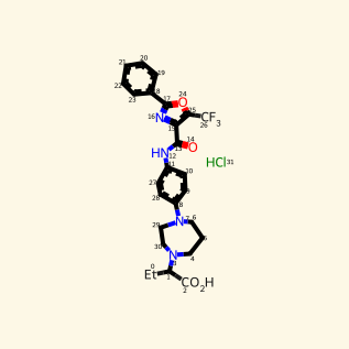 CCC(C(=O)O)N1CCCN(c2ccc(NC(=O)c3nc(-c4ccccc4)oc3C(F)(F)F)cc2)CC1.Cl